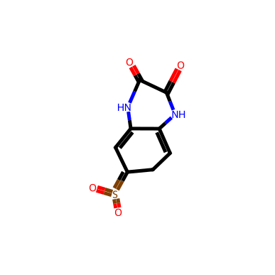 O=c1[nH]c2c([nH]c1=O)=CC(=S(=O)=O)CC=2